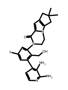 CC1(C)Cc2cc3n(c2C1)CCN(c1cc(F)cc(-c2ccnc(N)c2N)c1CO)C3=O